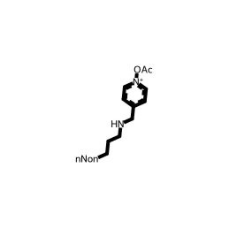 CCCCCCCCCCCCNCc1cc[n+](OC(C)=O)cc1